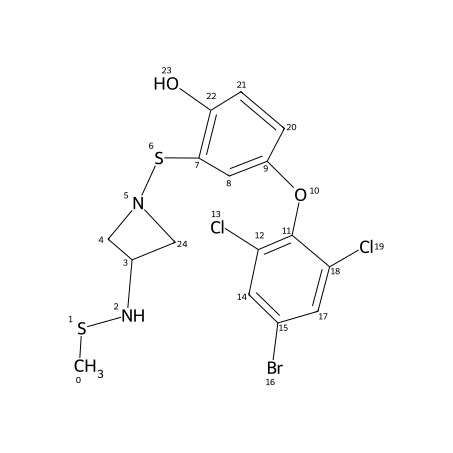 CSNC1CN(Sc2cc(Oc3c(Cl)cc(Br)cc3Cl)ccc2O)C1